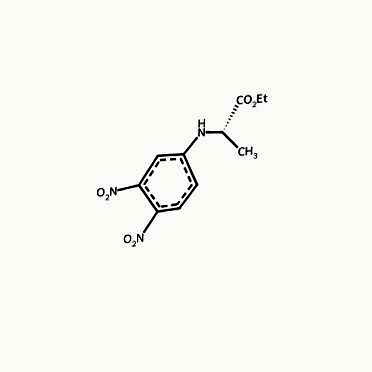 CCOC(=O)[C@H](C)Nc1ccc([N+](=O)[O-])c([N+](=O)[O-])c1